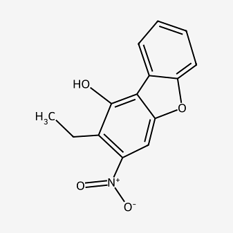 CCc1c([N+](=O)[O-])cc2oc3ccccc3c2c1O